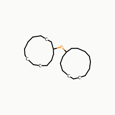 C1CCCCCCC([P]C2CCCCCCCCCCCCC2)CCCCCC1